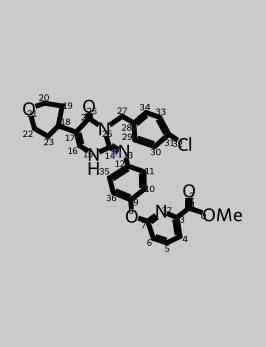 COC(=O)c1cccc(Oc2ccc(/N=c3\[nH]cc(C4CCOCC4)c(=O)n3Cc3ccc(Cl)cc3)cc2)n1